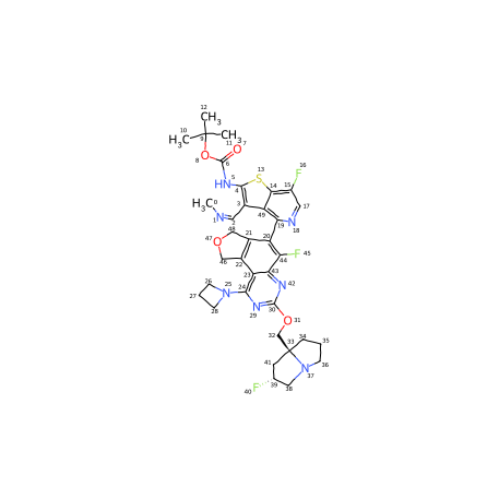 C/N=C\c1c(NC(=O)OC(C)(C)C)sc2c(F)cnc(-c3c4c(c5c(N6CCC6)nc(OC[C@@]67CCCN6C[C@H](F)C7)nc5c3F)COC4)c12